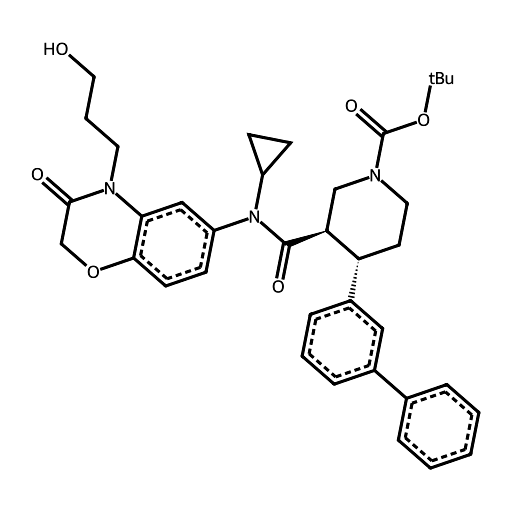 CC(C)(C)OC(=O)N1CC[C@H](c2cccc(-c3ccccc3)c2)[C@@H](C(=O)N(c2ccc3c(c2)N(CCCO)C(=O)CO3)C2CC2)C1